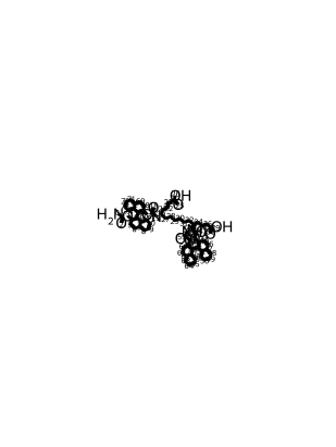 NC(=O)Oc1ccc2ccccc2c1-c1c(OC(=O)N=C(CC=CC(=O)O)CCCCCCC(CC=CC(=O)O)=NC(=O)Oc2ccc3ccccc3c2-c2c(OC(N)=O)ccc3ccccc23)ccc2ccccc12